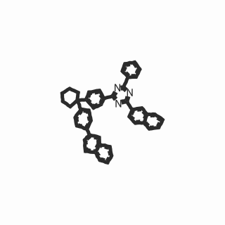 c1ccc(-c2nc(-c3ccc(C4(c5ccc(-c6ccc7ccccc7c6)cc5)CCCCC4)cc3)nc(-c3ccc4ccccc4c3)n2)cc1